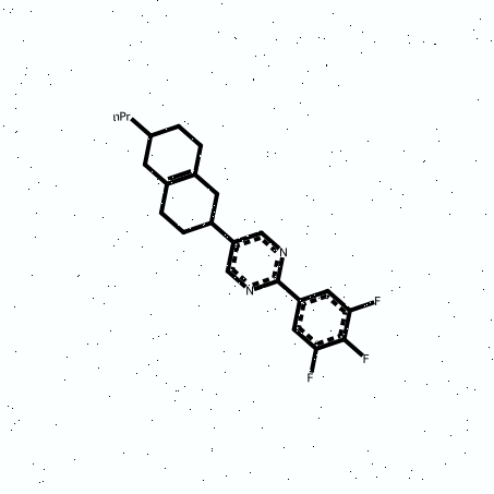 CCCC1CCC2=C(CCC(c3cnc(-c4cc(F)c(F)c(F)c4)nc3)C2)C1